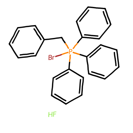 BrP(Cc1ccccc1)(c1ccccc1)(c1ccccc1)c1ccccc1.F